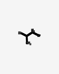 CCC(C)[SiH2]Br